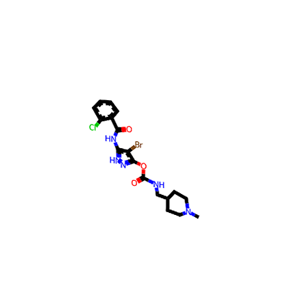 CN1CCC(CNC(=O)Oc2n[nH]c(NC(=O)c3ccccc3Cl)c2Br)CC1